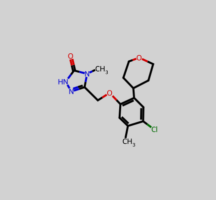 Cc1cc(OCc2n[nH]c(=O)n2C)c(C2CCOCC2)cc1Cl